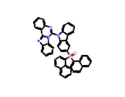 O=P(c1ccc2c(c1)c1ccccc1n2-c1nc2ccccc2c2nc3ccccc3n12)(c1cccc2ccccc12)c1cccc2ccccc12